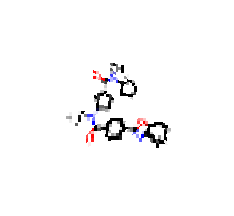 CN(C(=O)[C@H]1CC[C@@H](N(C)C(=O)c2ccc(-c3nc4ccccc4o3)cc2)C1)C1CCCC1